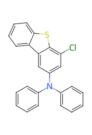 Clc1cc(N(c2ccccc2)c2ccccc2)cc2c1sc1ccccc12